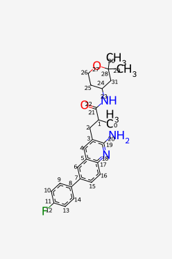 CC(Cc1cc2cc(-c3ccc(F)cc3)ccc2nc1N)C(=O)NC1CCOC(C)(C)C1